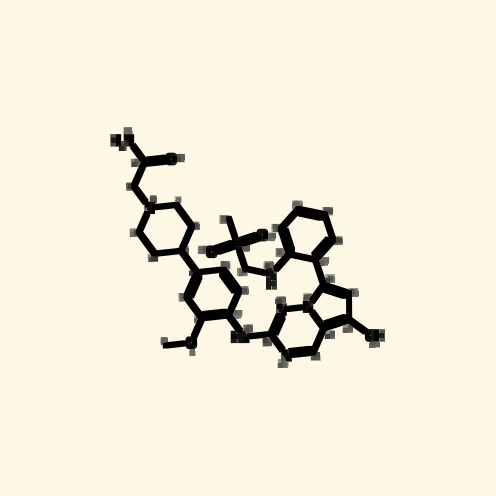 COc1cc(C2CCN(CC(N)=O)CC2)ccc1Nc1ncc2c(O)cc(-c3ccccc3NCS(C)(=O)=O)n2n1